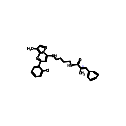 C/C(=C\c1ccccc1)C(=O)NCCCCNc1cc(-c2ccccc2Cl)nc2c(C)cnn12